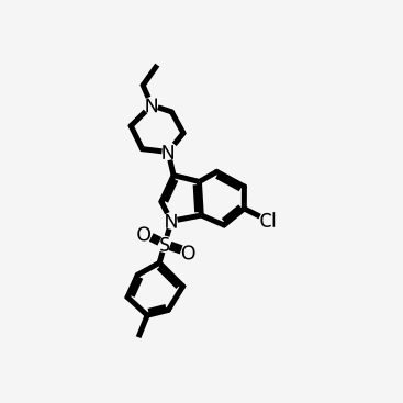 CCN1CCN(c2cn(S(=O)(=O)c3ccc(C)cc3)c3cc(Cl)ccc23)CC1